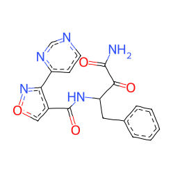 NC(=O)C(=O)C(Cc1ccccc1)NC(=O)c1conc1-c1ccncn1